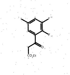 CCOC(=O)CC(=O)c1cc(I)cc(F)c1F